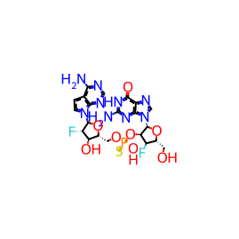 Nc1nc2c(ncn2[C@@H]2O[C@H](CO)[C@@H](F)[C@H]2OP(O)(=S)OC[C@H]2OC(n3ccc4c(N)ncnc43)[C@@H](F)[C@@H]2O)c(=O)[nH]1